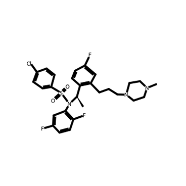 C[C@H](c1ccc(F)cc1CCCN1CCN(C)CC1)N(c1cc(F)ccc1F)S(=O)(=O)c1ccc(Cl)cc1